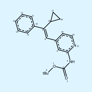 CC(C)(C)OC(=O)Nc1cc(C=C(c2ccccc2)C2CC2)ccn1